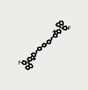 CC1(C)c2cc(/C=C/c3ccc(-c4ccc(-c5ccc(/C=C/c6ccc7c(c6)C(C)(C)c6cc(N(c8ccc(F)cc8)c8cccc9ccccc89)ccc6-7)cc5)cc4)cc3)ccc2-c2ccc(N(c3ccc(F)cc3)c3cccc4ccccc34)cc21